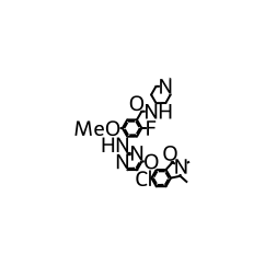 COc1cc(C(=O)NC2CCN(C)CC2)c(F)cc1Nc1ncc(Cl)c(Oc2cccc3c2C(=O)N(C)C3C)n1